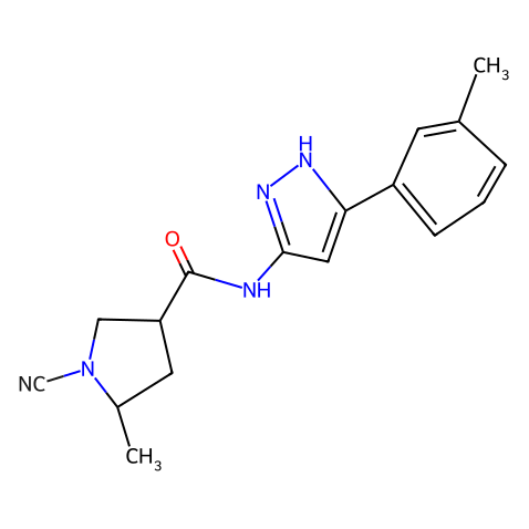 Cc1cccc(-c2cc(NC(=O)C3CC(C)N(C#N)C3)n[nH]2)c1